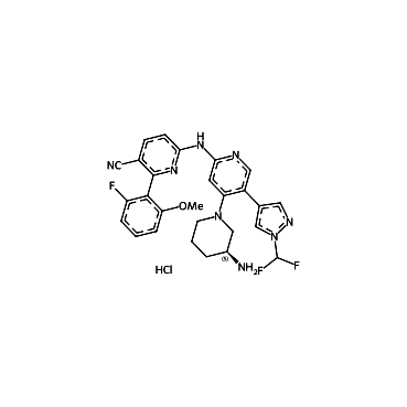 COc1cccc(F)c1-c1nc(Nc2cc(N3CCC[C@H](N)C3)c(-c3cnn(C(F)F)c3)cn2)ccc1C#N.Cl